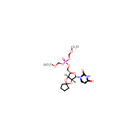 CCOC(=O)OCOP(=O)(OCOC(=O)OCC)OC[C@H]1O[C@@H](n2ccc(=O)[nH]c2=O)[C@]2(C)OC3(CCCC3)O[C@H]12